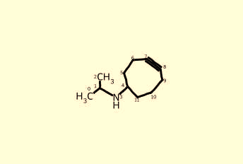 CC(C)NC1CCC#CCCC1